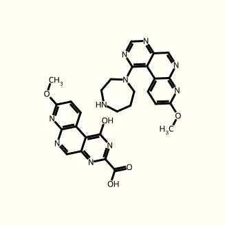 COc1ccc2c(ncc3nc(C(=O)O)nc(O)c32)n1.COc1ccc2c(ncc3ncnc(N4CCCNCC4)c32)n1